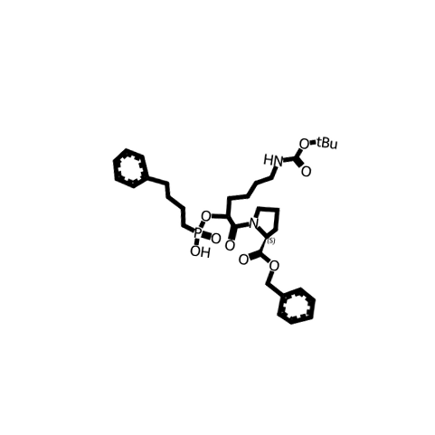 CC(C)(C)OC(=O)NCCCCC(OP(=O)(O)CCCCc1ccccc1)C(=O)N1CCC[C@H]1C(=O)OCc1ccccc1